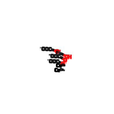 CCO.O=C([O-])[O-].O=C([O-])[O-].O=C([O-])[O-].[Ce+3].[Ce+3]